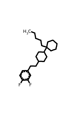 CCCCCC1(C2CCC(CCc3ccc(F)c(F)c3)CC2)CCCCC1